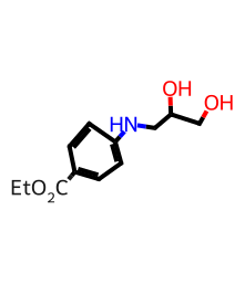 CCOC(=O)c1ccc(NCC(O)CO)cc1